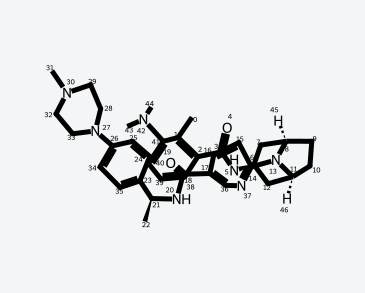 Cc1c(C(=O)N[C@H]2C[C@H]3CC[C@@H](C2)N3c2ccc(C(=O)N[C@@H](C)c3ccc(N4CCN(C)CC4)cc3)cn2)cccc1N(C)C